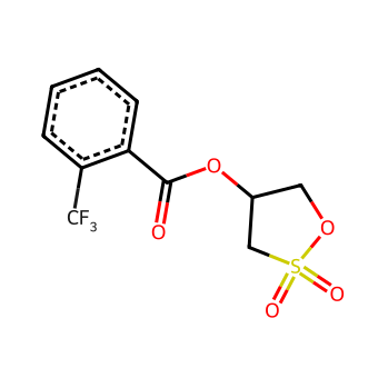 O=C(OC1COS(=O)(=O)C1)c1ccccc1C(F)(F)F